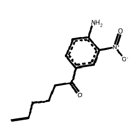 CCCCCC(=O)c1ccc(N)c([N+](=O)[O-])c1